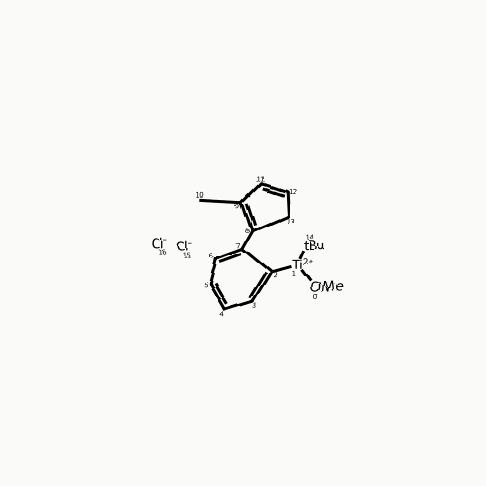 C[O][Ti+2]([c]1ccccc1C1=C(C)C=CC1)[C](C)(C)C.[Cl-].[Cl-]